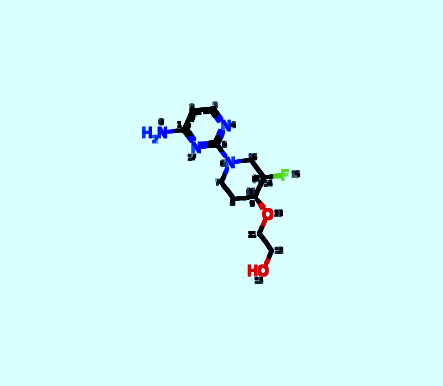 Nc1ccnc(N2CC[C@H](OCCO)[C@H](F)C2)n1